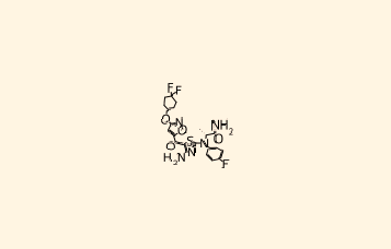 C[C@H](C(N)=O)N(c1ccc(F)cc1)c1nc(N)c(C(=O)c2cc(OC3CCC(F)(F)CC3)no2)s1